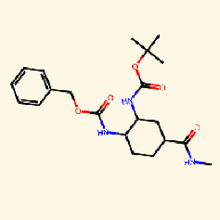 CNC(=O)C1CCC(NC(=O)OCc2ccccc2)C(NC(=O)OC(C)(C)C)C1